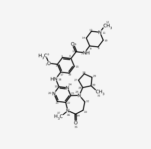 COc1cc(C(=O)NC2CCN(C)CC2)ccc1Nc1ncc2c(n1)N(C1CCCC1C)CCC(=O)N2C